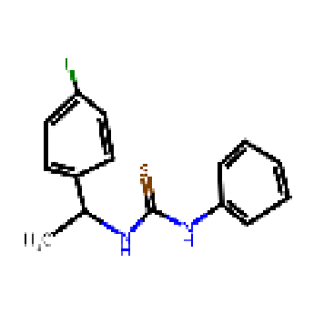 CC(NC(=S)Nc1cc[c]cc1)c1ccc(F)cc1